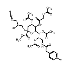 COC(=O)[C@@]1(OCC(O)CN=[N+]=[N-])C[C@H](OC(C)=O)[C@@H](NC(=O)COC(C)=O)[C@H]([C@H](OC(C)=O)[C@@H](CNC(=O)Cc2ccc(Cl)cc2)OC(C)=O)O1